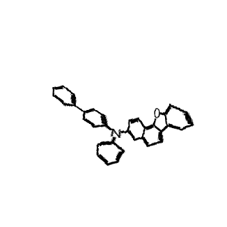 c1ccc(-c2ccc(N(c3ccccc3)c3ccc4c(ccc5c6ccccc6oc45)c3)cc2)cc1